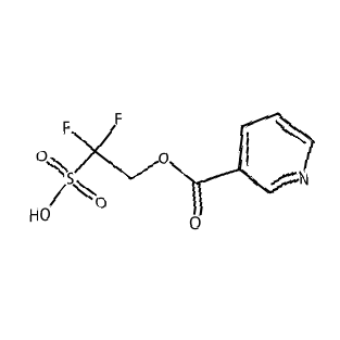 O=C(OCC(F)(F)S(=O)(=O)O)c1cccnc1